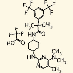 Cc1cnc(N[C@H]2CC[C@@H](NC(=O)C(C)(C)c3cc(C(F)(F)F)cc(C(F)(F)F)c3)CC2)nc1N(C)C.O=C(O)C(F)(F)F